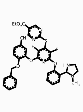 CCOC(=O)c1cnc(Sc2c(F)c(Oc3cc(C#N)ccc3OCc3ccccc3)nc(Oc3ccccc3C3NCCN3C)c2F)nc1